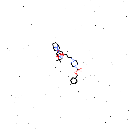 CC(C)(C)OC(=O)N1CC2CCC(C1)N2c1ccnc(CCCN2CCN(C(=O)OCc3ccccc3)CC2)c1